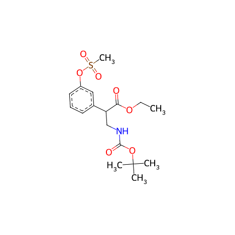 CCOC(=O)C(CNC(=O)OC(C)(C)C)c1cccc(OS(C)(=O)=O)c1